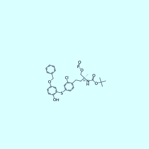 CC(C)(C)OC(=O)N[C@@](C)(CCc1ccc(Sc2cc(OCc3ccccc3)ccc2O)cc1Cl)COP=O